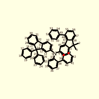 CC1(C)c2ccc(N(c3ccc4c(c3)C(c3ccccc3)(c3ccccc3)c3ccccc3-4)c3ccccc3-c3ccccc3)cc2-c2c(-c3ccccc3)cccc21